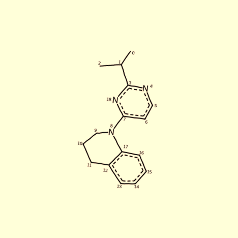 CC(C)c1nccc(N2CCCc3ccccc32)n1